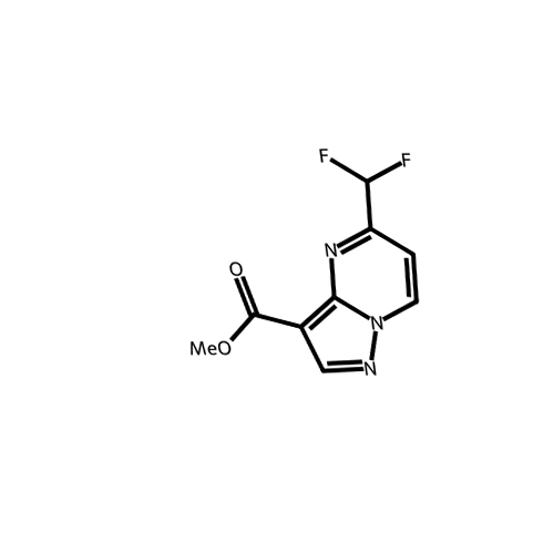 COC(=O)c1cnn2ccc(C(F)F)nc12